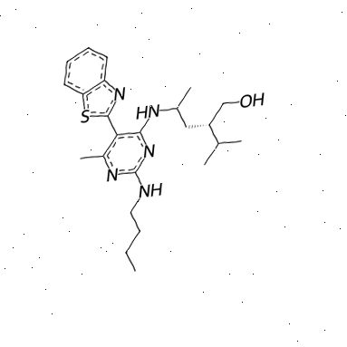 CCCCNc1nc(C)c(-c2nc3ccccc3s2)c(NC(C)C[C@H](CO)C(C)C)n1